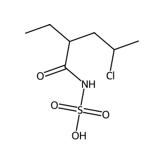 CCC(CC(C)Cl)C(=O)NS(=O)(=O)O